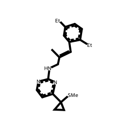 CCc1ccc(CC)c(/C=C(\C)CNc2nccc(C3(SC)CC3)n2)c1